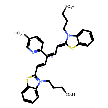 O=C(O)c1ccc(C(=C\C=C2/Sc3ccccc3N2CCCS(=O)(=O)O)/C=C/c2sc3ccccc3[n+]2CCCS(=O)(=O)O)nc1